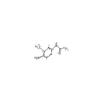 CC(=O)Nc1ccc(N)c(C)n1